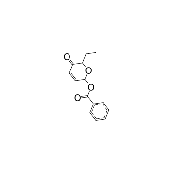 CCC1OC(OC(=O)c2ccccc2)C=CC1=O